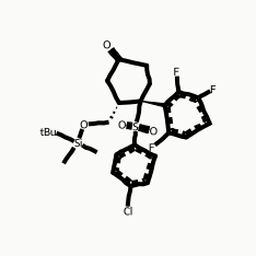 CC(C)(C)[Si](C)(C)OC[C@@H]1CC(=O)CC[C@]1(c1c(F)ccc(F)c1F)S(=O)(=O)c1ccc(Cl)cc1